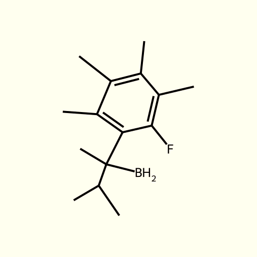 BC(C)(c1c(C)c(C)c(C)c(C)c1F)C(C)C